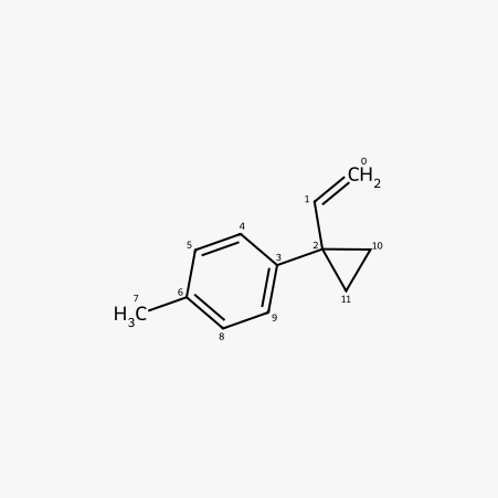 C=CC1(c2ccc(C)cc2)CC1